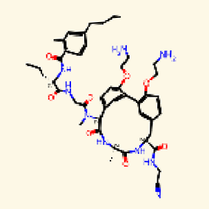 CCCCc1ccc(C(=O)N[C@@H](CCC)C(=O)NCC(=O)N(C)[C@@H]2C(=O)N[C@@H](C)C(=O)N[C@H](C(=O)NCC#N)Cc3ccc(OCCN)c(c3)-c3cc2ccc3OCCN)c(C)c1